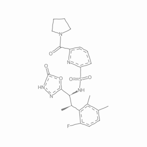 Cc1ccc(F)c([C@@H](C)[C@H](NS(=O)(=O)c2cccc(C(=O)N3CCCC3)n2)c2n[nH]c(=O)o2)c1C